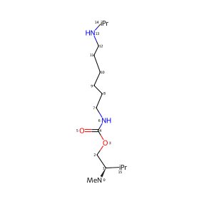 CN[C@@H](COC(=O)NCCCCCCNC(C)C)C(C)C